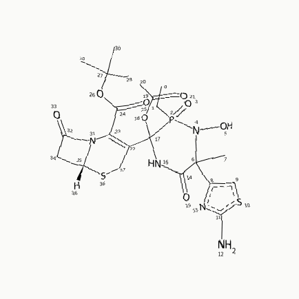 CCP1(=O)N(O)C(C)(c2csc(N)n2)C(=O)NC1(OC(C)=O)C1=C(C(=O)OC(C)(C)C)N2C(=O)C[C@H]2SC1